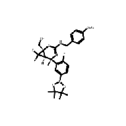 COc1ccc(CNC2=N[C@](C)(c3cc(B4OC(C)(C)C(C)(C)O4)ccc3F)[C@H]3C(F)(F)[C@]3(CO)S2)cc1